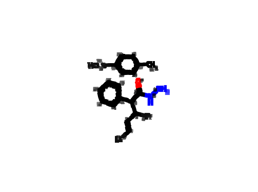 CCC=CC(C(C)C)C(C(=O)NN)c1ccccc1.Cc1ccc(S(=O)(=O)O)cc1